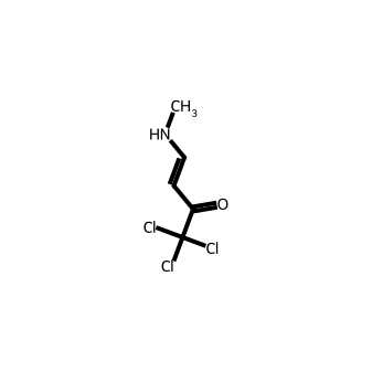 CN/C=C/C(=O)C(Cl)(Cl)Cl